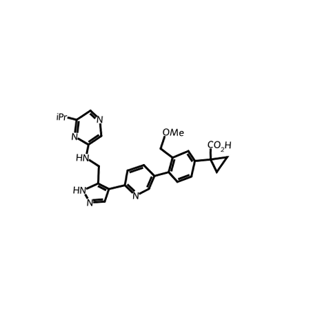 COCc1cc(C2(C(=O)O)CC2)ccc1-c1ccc(-c2cn[nH]c2CNc2cncc(C(C)C)n2)nc1